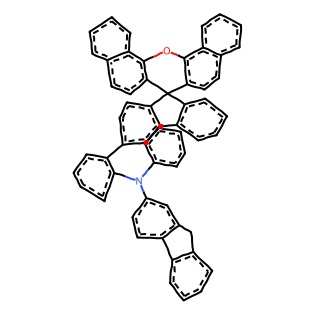 c1ccc(N(c2ccc3c(c2)Cc2ccccc2-3)c2ccccc2-c2ccc3c(c2)-c2ccccc2C32c3ccc4ccccc4c3Oc3c2ccc2ccccc32)cc1